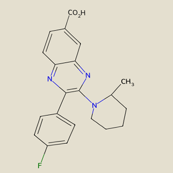 CC1CCCCN1c1nc2cc(C(=O)O)ccc2nc1-c1ccc(F)cc1